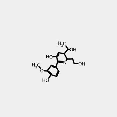 COc1cc(C2=NC(CCO)C(C(C)O)C=C2O)ccc1O